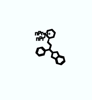 CCC[N+]1(CCC)CCCC[C@H]1CCC(c1ccccc1)C1Cc2ccccc2C1